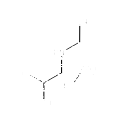 CC(=O)O.CC(O)CNCC#N